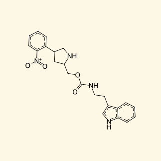 O=C(NCCc1c[nH]c2ccccc12)OCC1CC(c2ccccc2[N+](=O)[O-])CN1